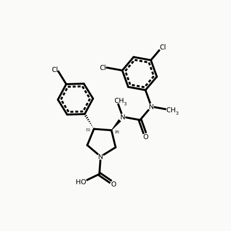 CN(C(=O)N(C)[C@H]1CN(C(=O)O)C[C@@H]1c1ccc(Cl)cc1)c1cc(Cl)cc(Cl)c1